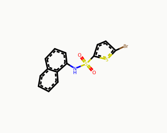 O=S(=O)(Nc1cccc2ccccc12)c1ccc(Br)s1